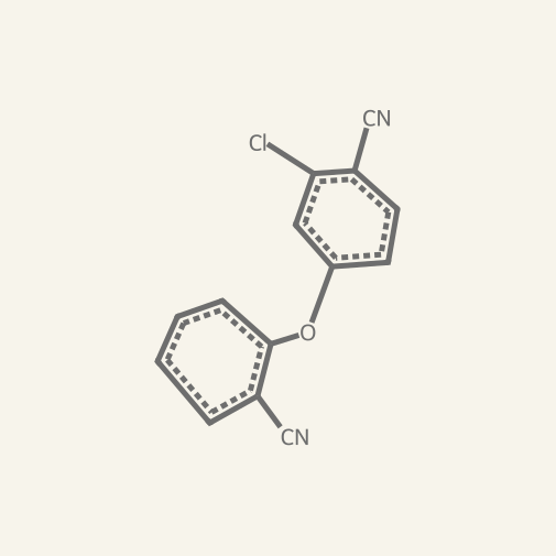 N#Cc1ccc(Oc2ccccc2C#N)cc1Cl